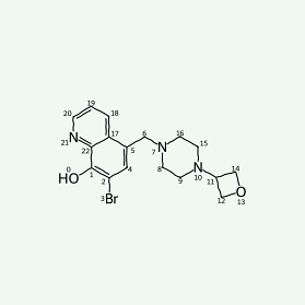 Oc1c(Br)cc(CN2CCN(C3COC3)CC2)c2cccnc12